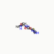 CC(CCNC(=O)c1ccc(OCc2csc(N3CCNCC3)n2)cc1)CC(=O)NCC#N